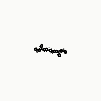 c1ccc(N(c2ccc3cc4c(cc3c2)oc2cc3c(cc24)oc2cc4cc(N(c5ccccc5)c5ccc6sc7ccccc7c6c5)ccc4cc23)c2ccc3sc4ccccc4c3c2)cc1